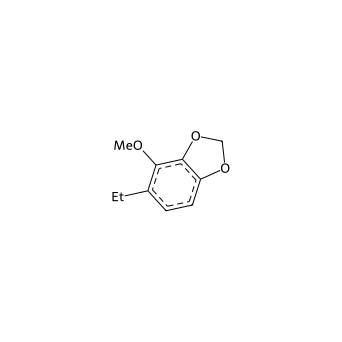 CCc1ccc2c(c1OC)OCO2